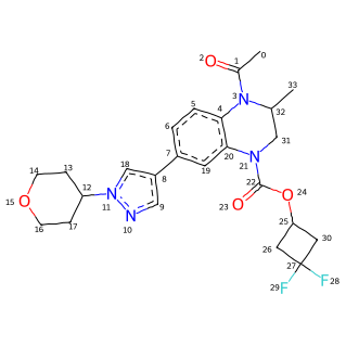 CC(=O)N1c2ccc(-c3cnn(C4CCOCC4)c3)cc2N(C(=O)OC2CC(F)(F)C2)CC1C